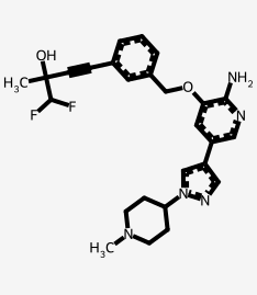 CN1CCC(n2cc(-c3cnc(N)c(OCc4cccc(C#CC(C)(O)C(F)F)c4)c3)cn2)CC1